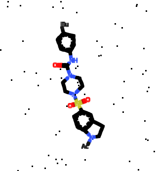 CCC(C)c1ccc(NC(=O)N2CCN(S(=O)(=O)c3ccc4c(c3)CCN4C(C)=O)CC2)cc1